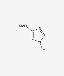 CCn1cnc(OC)c1